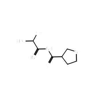 CC(C)C(=N)NC(=O)C1CCNC1